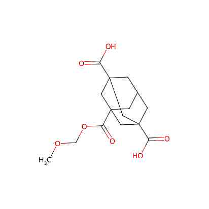 COCOC(=O)C12CC3CC(C(=O)O)(CC(C(=O)O)(C3)C1)C2